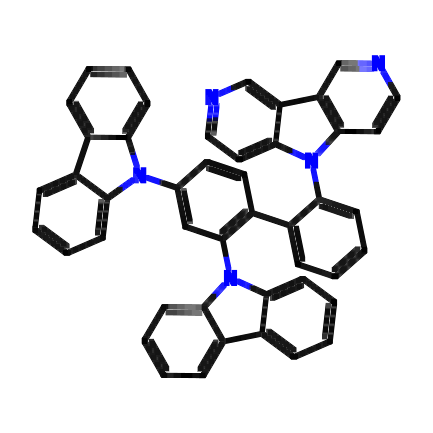 c1ccc(-n2c3ccncc3c3cnccc32)c(-c2ccc(-n3c4ccccc4c4ccccc43)cc2-n2c3ccccc3c3ccccc32)c1